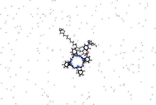 CCCCCCCCCCCCCCC[CH2][Zn]([O]c1cccc(N(C)C)c1)[c]1cccc2c3nc4nc(nc5[nH]c(nc6nc(nc([nH]3)c12)-c1ccccc1-6)c1ccccc51)-c1ccccc1-4